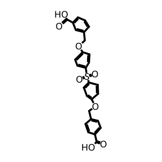 O=C(O)c1ccc(COc2ccc(S(=O)(=O)c3ccc(OCc4cccc(C(=O)O)c4)cc3)cc2)cc1